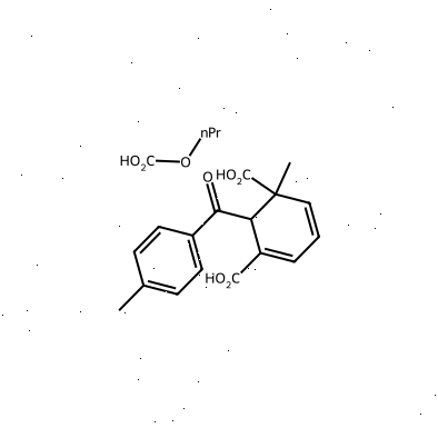 CCCOC(=O)O.Cc1ccc(C(=O)C2C(C(=O)O)=CC=CC2(C)C(=O)O)cc1